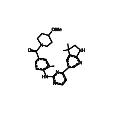 COC1CCN(C(=O)c2ccc(Nc3nccc(-c4cnc5c(c4)C(C)(C)CN5)n3)c(C)c2)CC1